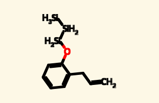 C=CCc1ccccc1O[SiH2][SiH2][SiH3]